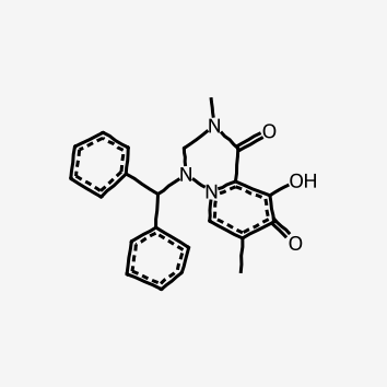 Cc1cn2c(c(O)c1=O)C(=O)N(C)CN2C(c1ccccc1)c1ccccc1